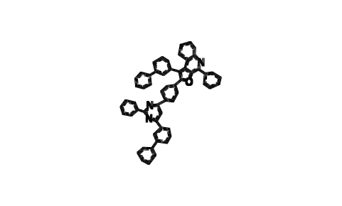 c1ccc(-c2cccc(-c3cc(-c4ccc(-c5oc6c(-c7ccccc7)nc7ccccc7c6c5-c5cccc(-c6ccccc6)c5)cc4)nc(-c4ccccc4)n3)c2)cc1